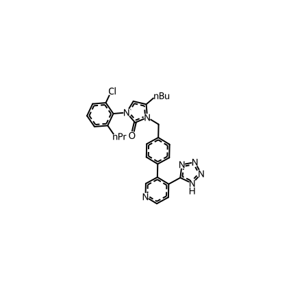 CCCCc1cn(-c2c(Cl)cccc2CCC)c(=O)n1Cc1ccc(-c2cnccc2-c2nnn[nH]2)cc1